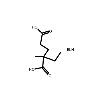 CCC(C)(CCC(=O)O)C(=O)O.[RbH]